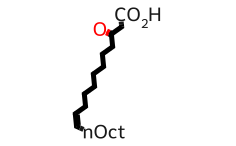 CCCCCCCC/C=C\CCCCCCCC(=O)CC(=O)O